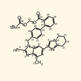 CCCc1nc2c(C)cc(-c3cn4c(n3)CCCC4)cc2n1Cc1ccc(-c2ccccc2C(=O)OCOC(=O)C(C)(C)C)cc1